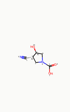 N#C[C@H]1CN(C(=O)O)C[C@@H]1O